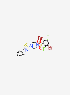 Cc1cccc(-c2csc(N3CCN(S(=O)(=O)c4c(F)c(Br)cc(F)c4Br)CC3)n2)c1C